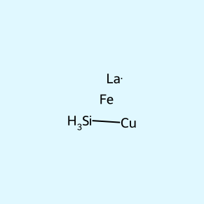 [Fe].[La].[SiH3][Cu]